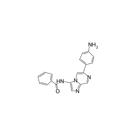 Nc1ccc(-c2cn3c(NC(=O)c4ccccc4)cnc3cn2)cc1